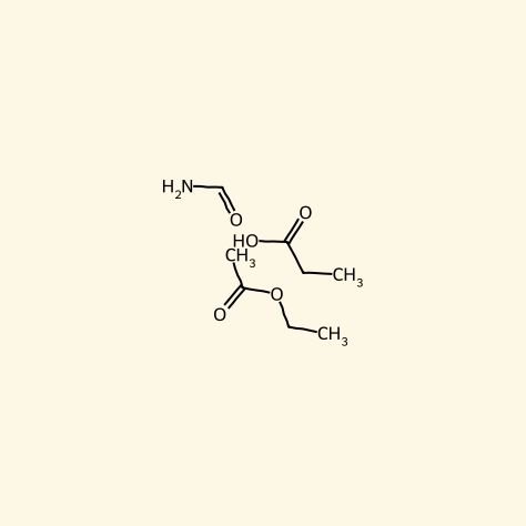 CCC(=O)O.CCOC(C)=O.NC=O